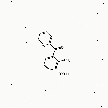 Cc1c(C(=O)O)cccc1C(=O)c1ccccc1